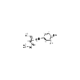 CC/N=N\C(C)(C#Cc1ccc(F)c(F)c1)OCC